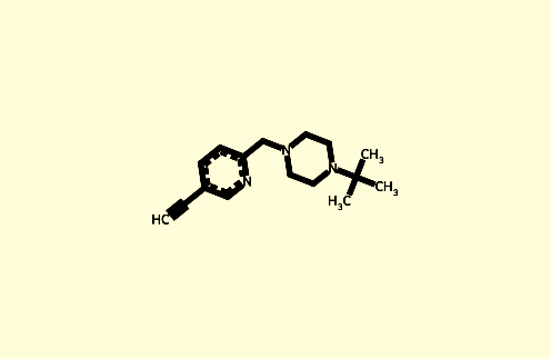 C#Cc1ccc(CN2CCN(C(C)(C)C)CC2)nc1